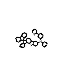 c1ccc(N(c2cccc(-c3ccccn3)c2)c2ccc3sc4c5c(ccc4c3c2)C2(c3ccccc3-c3ccccc32)c2ccccc2-5)cc1